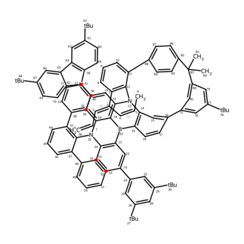 C=C/C=C(\C=C/C)c1cccc2c1N1c3cc(ccc3B3c4cc(-c5cc(C(C)(C)C)cc(C(C)(C)C)c5)ccc4N(c4c(-c5ccccc5)cccc4-c4ccccc4)c4cc(-n5c6ccc(C(C)(C)C)cc6c6cc(C(C)(C)C)ccc65)cc1c43)-c1cc(C(C)(C)C)cc(c1)C(C)(C)c1ccc-2cc1